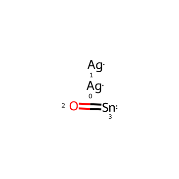 [Ag].[Ag].[O]=[Sn]